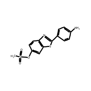 CS(=O)(=O)Oc1ccc2nc(-c3ccc(N)cc3)sc2c1